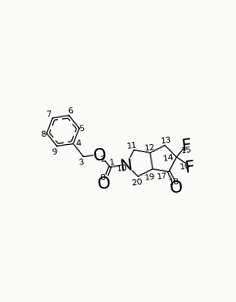 O=C(OCc1ccccc1)N1CC2CC(F)(F)C(=O)C2C1